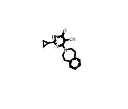 N#Cc1c(N2CCc3ccccc3CC2)nc(C2CC2)[nH]c1=O